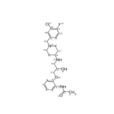 CC(=O)Nc1ccccc1OCC(O)CNC1CCN(Cc2ccc(F)c(Cl)c2)CC1